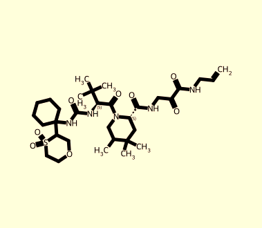 C=CCNC(=O)C(=O)CNC(=O)[C@@H]1CC(C)(C)C(C)CN1C(=O)[C@@H](NC(=O)NC1(C2COCCS2(=O)=O)CCCCC1)C(C)(C)C